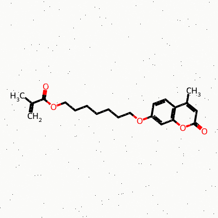 C=C(C)C(=O)OCCCCCCCOc1ccc2c(C)cc(=O)oc2c1